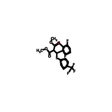 COC(=O)C(C(=O)OC)C(Sc1ccc(C(F)(F)F)cc1)c1c(F)ccc(F)c1F